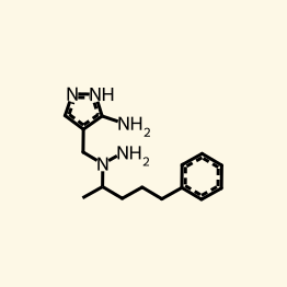 CC(CCCc1ccccc1)N(N)Cc1cn[nH]c1N